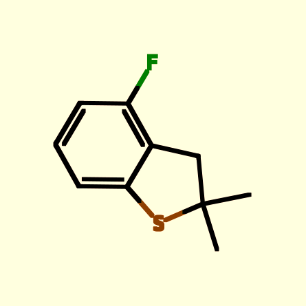 CC1(C)Cc2c(F)cccc2S1